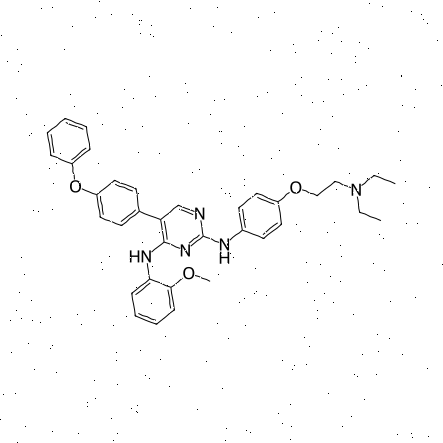 CCN(CC)CCOc1ccc(Nc2ncc(-c3ccc(Oc4ccccc4)cc3)c(Nc3ccccc3OC)n2)cc1